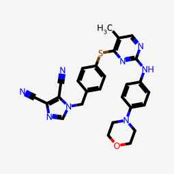 Cc1cnc(Nc2ccc(N3CCOCC3)cc2)nc1Sc1ccc(Cn2cnc(C#N)c2C#N)cc1